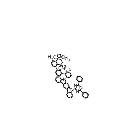 CC1CC(C)(C)c2c(-c3cccc(-c4ccccc4-n4c5ccccc5c5cc6c7ccccc7n(-c7nc(-c8ccccc8)nc(-c8ccccc8)n7)c6cc54)c3)cccc2C1(C)C